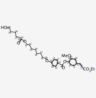 CCOC(=O)/C=C/c1ccc(OC(=O)c2ccc(OCCCCCCCCOC(=O)CCCCCO)cc2)c(OC)c1